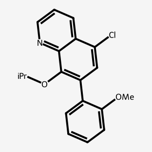 COc1ccccc1-c1cc(Cl)c2cccnc2c1OC(C)C